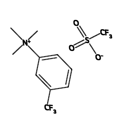 C[N+](C)(C)c1cccc(C(F)(F)F)c1.O=S(=O)([O-])C(F)(F)F